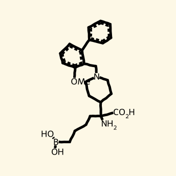 COc1cccc(-c2ccccc2)c1CN1CCC(C(N)(CCCCB(O)O)C(=O)O)CC1